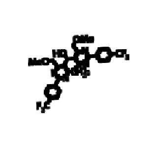 COCc1nc(-c2ccc(C(F)(F)F)cc2)nc(C)c1C(O)c1c(C)nc(-c2ccc(C(F)(F)F)cc2)nc1COC